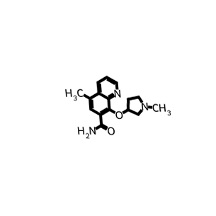 Cc1cc(C(N)=O)c(OC2CCN(C)C2)c2ncccc12